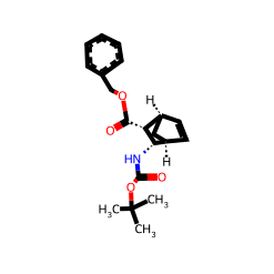 CC(C)(C)OC(=O)N[C@@H]1[C@H](C(=O)OCc2ccccc2)[C@H]2C=C[C@@H]1C2